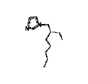 CCCCCC(CC)Cn1ccnc1